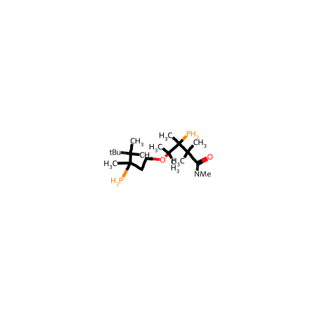 CNC(=O)C(C)(C)C(C)(P)C(C)(C)OCCC(C)(P)C(C)(C)C(C)(C)C